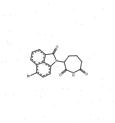 O=C1CCCC(N2C(=O)c3cccc4c(Br)ccc2c34)C(=O)N1